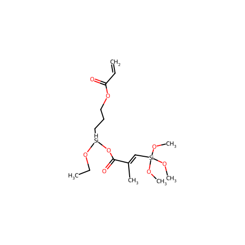 C=CC(=O)OCCC[SiH](OCC)OC(=O)C(C)=C[Si](OC)(OC)OC